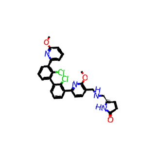 COc1cccc(-c2cccc(-c3cccc(-c4ccc(CNC[C@H]5CCC(=O)N5)c(OC)n4)c3Cl)c2Cl)n1